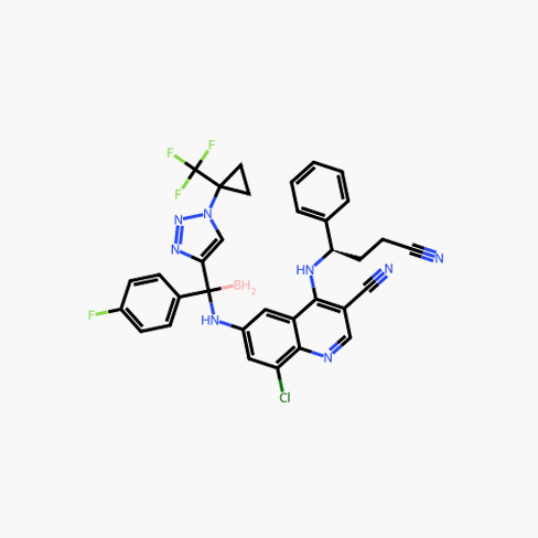 BC(Nc1cc(Cl)c2ncc(C#N)c(N[C@H](CCC#N)c3ccccc3)c2c1)(c1ccc(F)cc1)c1cn(C2(C(F)(F)F)CC2)nn1